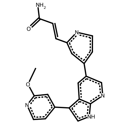 COc1cc(-c2c[nH]c3ncc(-c4ccnc(C=CC(N)=O)c4)cc23)ccn1